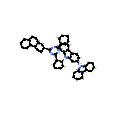 c1ccc(-c2nc(-c3ccc4c(ccc5ccccc54)c3)nc(-c3ccccc3-n3c4ccccc4c4ccc(-n5c6ccccc6c6ccccc65)cc43)n2)cc1